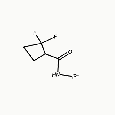 CC(C)NC(=O)C1CCC1(F)F